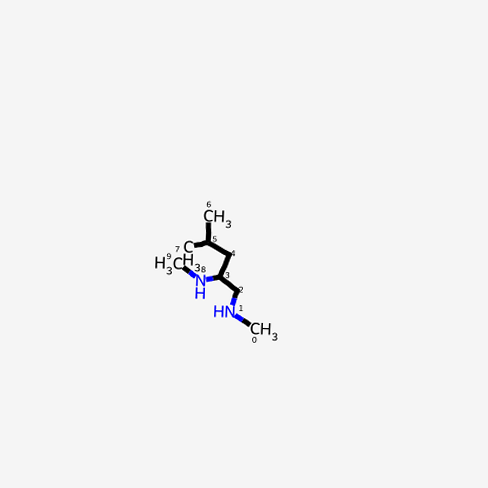 CNCC(CC(C)C)NC